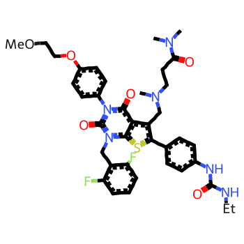 CCNC(=O)Nc1ccc(-c2sc3c(c2CN(C)CCC(=O)N(C)C)c(=O)n(-c2ccc(OCCOC)cc2)c(=O)n3Cc2c(F)cccc2F)cc1